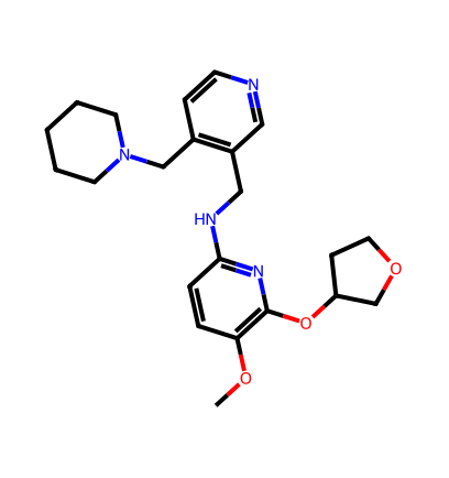 COc1ccc(NCc2cnccc2CN2CCCCC2)nc1OC1CCOC1